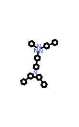 c1ccc(-c2ccc(-c3nc(-c4ccccc4)nc(-c4ccc(-c5ccc(-n6c7ccc(-c8ccccc8)cc7c7cc(-c8ccccc8)ccc76)cc5)cc4)n3)cc2)cc1